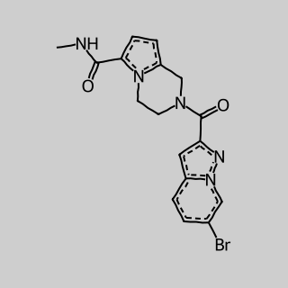 CNC(=O)c1ccc2n1CCN(C(=O)c1cc3ccc(Br)cn3n1)C2